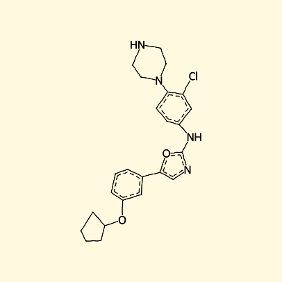 Clc1cc(Nc2ncc(-c3cccc(OC4CCCC4)c3)o2)ccc1N1CCNCC1